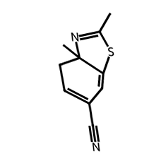 CC1=NC2(C)CC=C(C#N)C=C2S1